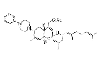 CC(=O)OCC1=C[C@]2(C=C(C)C[C@@H](/C=C(\C)CCC=C(C)C)O2)O[C@@H]2C=C(C)[C@H](N3CCN(c4ccccc4)CC3)C[C@H]12